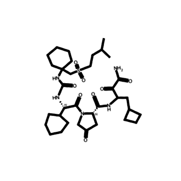 CC(C)CCS(=O)(=O)CC1(NC(=O)N[C@H](C(=O)N2CC(=O)C[C@H]2C(=O)NC(CC2CCC2)C(=O)C(N)=O)C2CCCCC2)CCCCC1